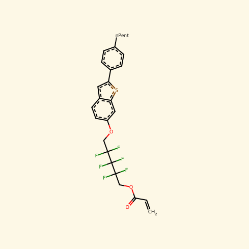 C=CC(=O)OCC(F)(F)C(F)(F)C(F)(F)COc1ccc2cc(-c3ccc(CCCCC)cc3)sc2c1